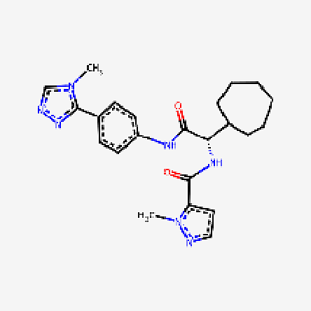 Cn1cnnc1-c1ccc(NC(=O)[C@@H](NC(=O)c2ccnn2C)C2CCCCCC2)cc1